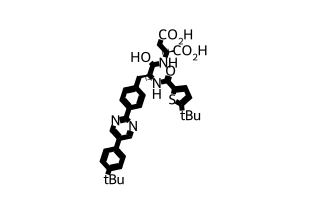 CC(C)(C)c1ccc(-c2cnc(-c3ccc(C[C@H](NC(=O)c4ccc(C(C)(C)C)s4)C(O)N[C@H](CC(=O)O)C(=O)O)cc3)nc2)cc1